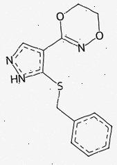 c1ccc(CSc2[nH]ncc2C2=NOCCO2)cc1